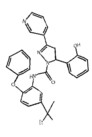 CCC(C)(C)c1ccc(Oc2ccccc2)c(NC(=O)N2N=C(c3cccnc3)CC2c2ccccc2O)c1